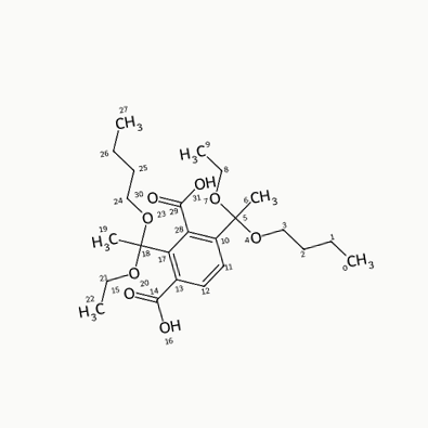 CCCCOC(C)(OCC)c1ccc(C(=O)O)c(C(C)(OCC)OCCCC)c1C(=O)O